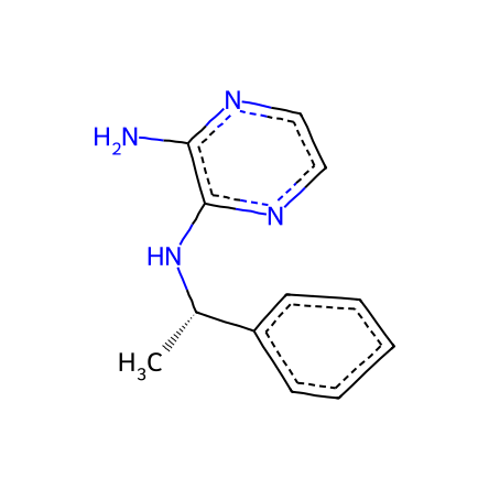 C[C@H](Nc1nccnc1N)c1ccccc1